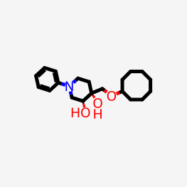 O[C@H]1CN(c2ccccc2)CC[C@]1(O)COC1CCCCCCC1